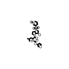 CC(C)CC(NC(=O)Oc1ccoc1)C(=O)N1CCC2C1C(=O)CN2S(=O)(=O)c1ccc[n+]([O-])c1